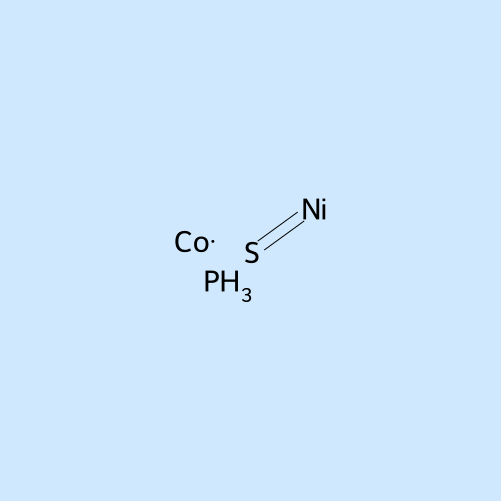 P.[Co].[S]=[Ni]